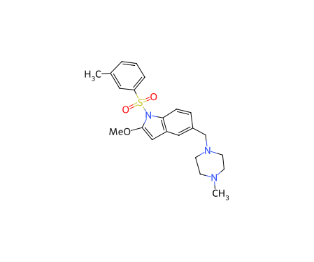 COc1cc2cc(CN3CCN(C)CC3)ccc2n1S(=O)(=O)c1cccc(C)c1